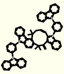 C=C1c2c(n(-c3cccc(-n4c5ccccc5c5ccccc54)c3)c3ccccc23)/C=C\CC(C)(C)c2c(ccc3c2c2ccccc2n3-c2cccc(-n3c4ccccc4c4ccccc43)c2)C1(C)C